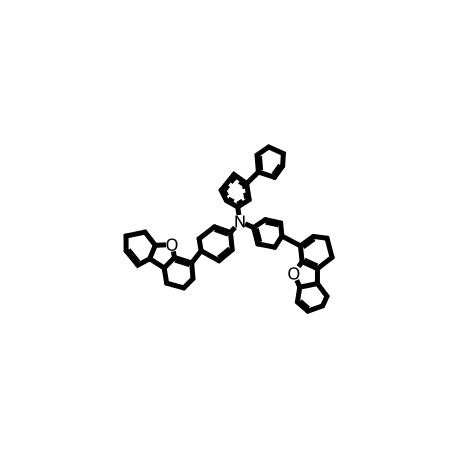 C1=CC(c2cccc(N(C3=CCC(C4=CCCC5=C4OC4C=CCCC54)C=C3)C3=CCC(C4=C5OC6CCC=CC6C5CCC4)C=C3)c2)=CCC1